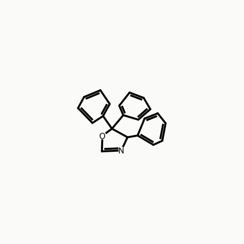 C1=NC(c2ccccc2)C(c2ccccc2)(c2ccccc2)O1